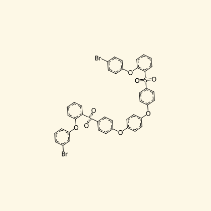 O=S(=O)(c1ccc(Oc2ccc(Oc3ccc(S(=O)(=O)c4ccccc4Oc4cccc(Br)c4)cc3)cc2)cc1)c1ccccc1Oc1ccc(Br)cc1